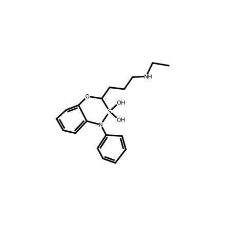 CCNCCCC1Oc2ccccc2N(c2ccccc2)S1(O)O